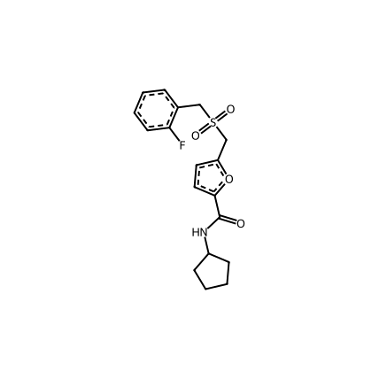 O=C(NC1CCCC1)c1ccc(CS(=O)(=O)Cc2ccccc2F)o1